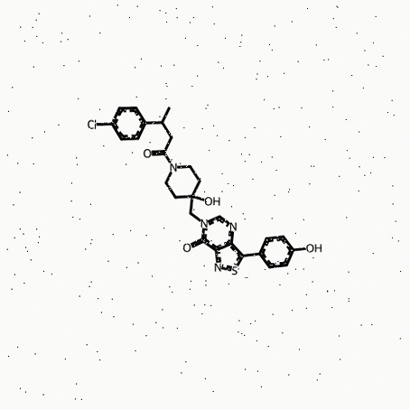 CC(CC(=O)N1CCC(O)(Cn2cnc3c(-c4ccc(O)cc4)snc3c2=O)CC1)c1ccc(Cl)cc1